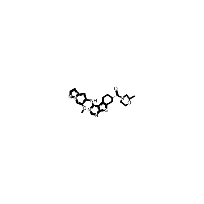 COc1cn2nccc2cc1Nc1ncnc2sc3c(c12)CC[C@H](C(=O)N1CCOC(C)C1)C3